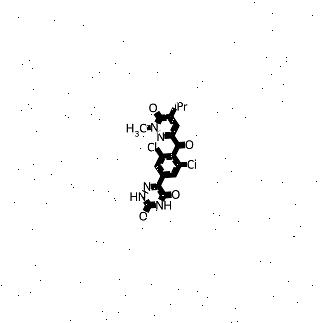 CC(C)c1cc(C(=O)c2c(Cl)cc(-c3n[nH]c(=O)[nH]c3=O)cc2Cl)nn(C)c1=O